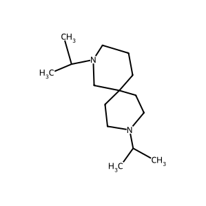 CC(C)N1CCC2(CCCN(C(C)C)C2)CC1